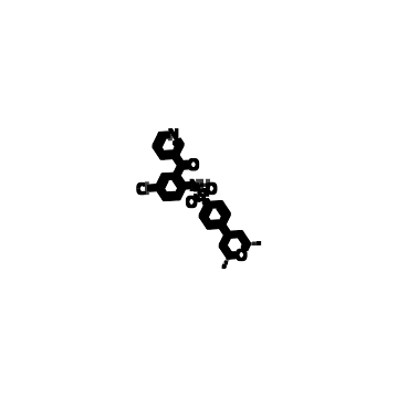 C[C@@H]1CC(c2ccc(S(=O)(=O)Nc3ccc(Cl)cc3C(=O)c3cccnc3)cc2)C[C@H](C)O1